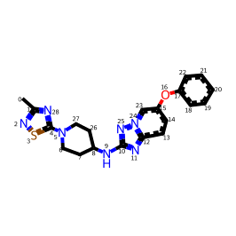 Cc1nsc(N2CCC(Nc3nc4ccc(Oc5ccccc5)cn4n3)CC2)n1